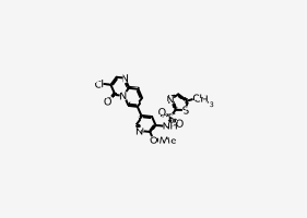 COc1ncc(-c2ccc3ncc(Cl)c(=O)n3c2)cc1NS(=O)(=O)c1ncc(C)s1